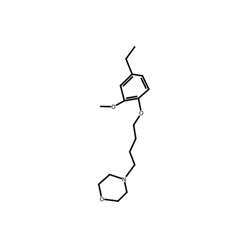 CCc1ccc(OCCCCN2CCOCC2)c(OC)c1